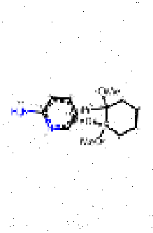 CCCC1(OC)CCCC[Si]1(OC)OC.Nc1ccccn1